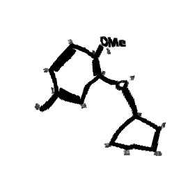 [CH2]c1ccc(OC)c(OC2CCCC2)c1